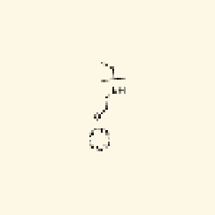 CCC(C)(C)NCCOc1ccccc1